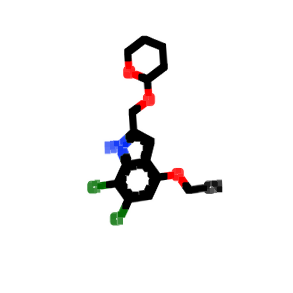 N#CCOc1cc(Cl)c(Cl)c2[nH]c(COC3CCCCO3)cc12